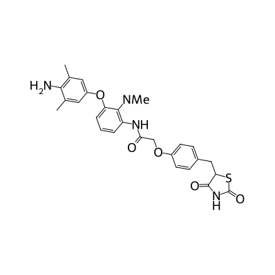 CNc1c(NC(=O)COc2ccc(CC3SC(=O)NC3=O)cc2)cccc1Oc1cc(C)c(N)c(C)c1